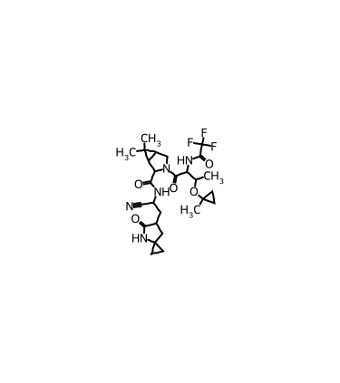 CC(OC1(C)CC1)C(NC(=O)C(F)(F)F)C(=O)N1CC2C(C1C(=O)NC(C#N)CC1CC3(CC3)NC1=O)C2(C)C